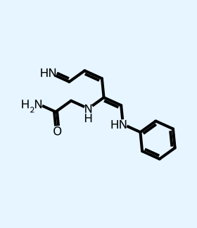 N=C/C=C\C(=C\Nc1ccccc1)NCC(N)=O